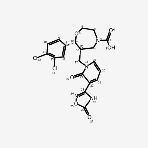 O=C(O)N1CCO[C@@H](c2ccc(Cl)c(Cl)c2)[C@H](Cn2cccc(-c3noc(=O)[nH]3)c2=O)C1